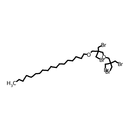 CCCCCCCCCCCCCCCCCCOCC(CBr)(CBr)COCC(CBr)(CBr)CBr